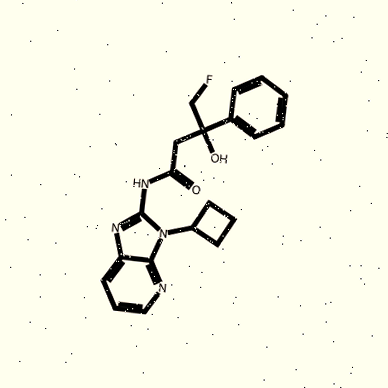 O=C(CC(O)(CF)c1ccccc1)Nc1nc2cccnc2n1C1CCC1